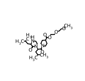 COCCOCCOC(=O)C1CCN(C(=O)C(CC(C)C)N2CCNC(CC(C)C)C2=O)CC1